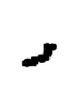 O=C(C1CCC1)N1CCC(Oc2ccc(-c3ccc(N4CCOCC4)nc3)cc2)CC1